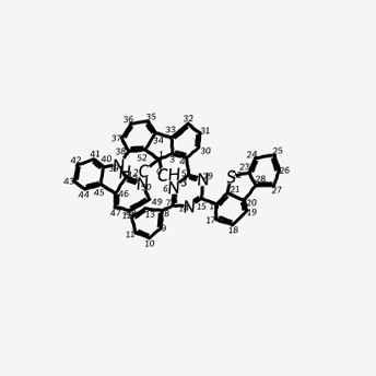 CC1(C)c2c(-c3nc(-c4ccccc4)nc(-c4cccc5c4sc4ccccc45)n3)cccc2-c2cccc(-n3c4ccccc4c4cccnc43)c21